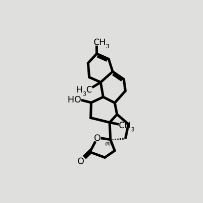 CC1=CC2=CCC3C(C(O)CC4(C)C3CC[C@@]43CCC(=O)O3)C2(C)CC1